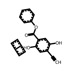 C#Cc1cc(O)c(C(=O)Oc2ccccc2)cc1O.c1cc2ccc1-2